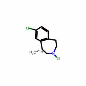 C[C@H]1CN(Cl)CCc2ccc(Cl)cc21